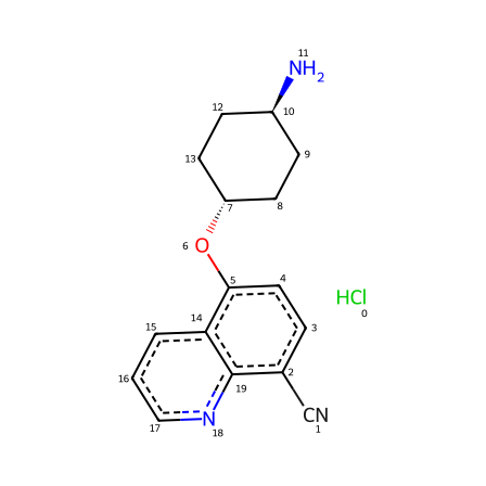 Cl.N#Cc1ccc(O[C@H]2CC[C@H](N)CC2)c2cccnc12